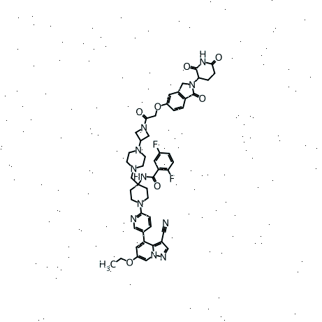 CCOc1cc(-c2ccc(N3CCC(CN4CCN(C5CN(C(=O)COc6ccc7c(c6)CN(C6CCC(=O)NC6=O)C7=O)C5)CC4)(NC(=O)c4cc(F)ccc4F)CC3)nc2)c2c(C#N)cnn2c1